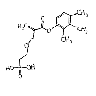 C=C(COCCP(=O)(O)O)C(=O)Oc1ccc(C)c(C)c1C